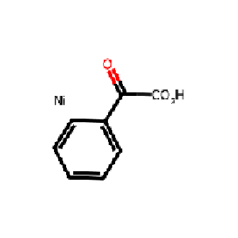 O=C(O)C(=O)c1ccccc1.[Ni]